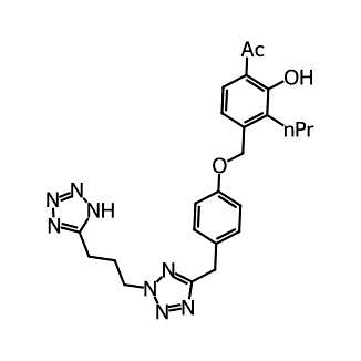 CCCc1c(COc2ccc(Cc3nnn(CCCc4nnn[nH]4)n3)cc2)ccc(C(C)=O)c1O